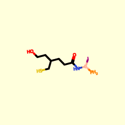 O=C(CCC(CS)CCO)NB(P)I